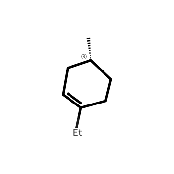 [CH2]CC1=CC[C@H](C)CC1